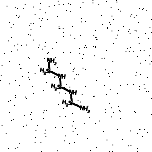 N[SiH2]N[SiH2]N[SiH2]N